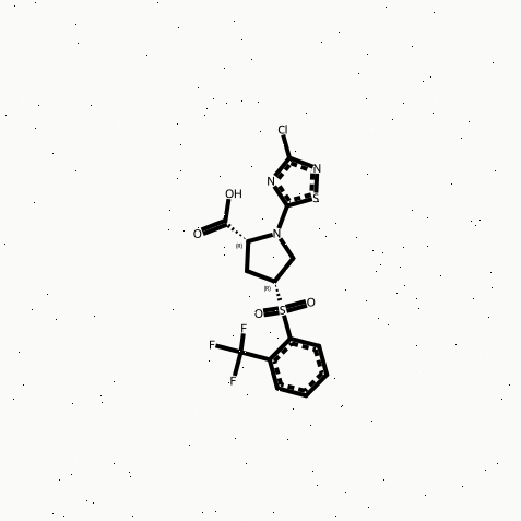 O=C(O)[C@H]1C[C@@H](S(=O)(=O)c2ccccc2C(F)(F)F)CN1c1nc(Cl)ns1